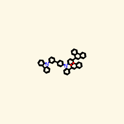 c1cc(-c2ccc(N(c3ccc(-c4cc5ccccc5c5ccccc45)cc3)c3ccccc3-c3ccc4ccccc4c3)cc2)cc(-n2c3ccccc3c3ccccc32)c1